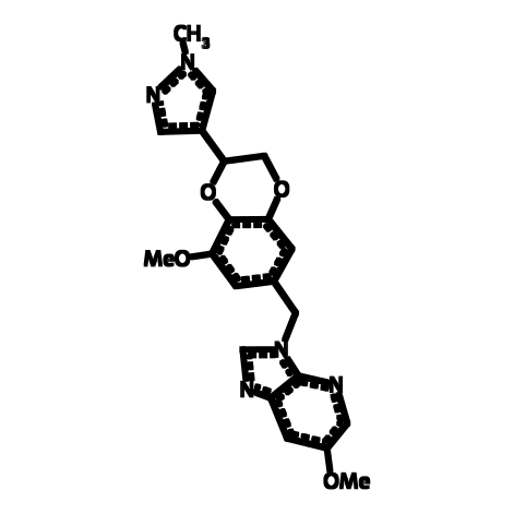 COc1cnc2c(c1)ncn2Cc1cc(OC)c2c(c1)OCC(c1cnn(C)c1)O2